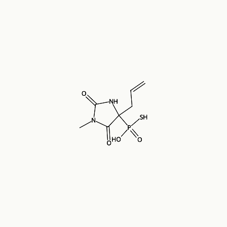 C=CCC1(P(=O)(O)S)NC(=O)N(C)C1=O